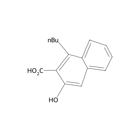 CCCCc1c(C(=O)O)c(O)cc2ccccc12